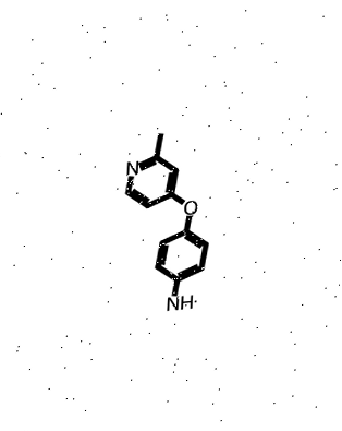 Cc1cc(Oc2ccc([NH])cc2)ccn1